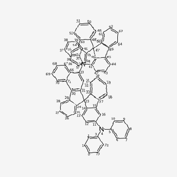 c1ccc(N(c2ccccc2)c2ccc3c(c2)-c2ccccc2C32c3ccccc3-c3c2cc(N(c2ccccc2)c2cccc4c2C2(c5ccccc5-c5ccccc52)c2ccccc2-4)c2ccccc32)cc1